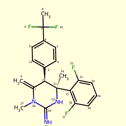 C=C1[C@@H](c2ccc(C(C)(F)F)cc2)[C@@](C)(c2c(F)cccc2F)NC(=N)N1C